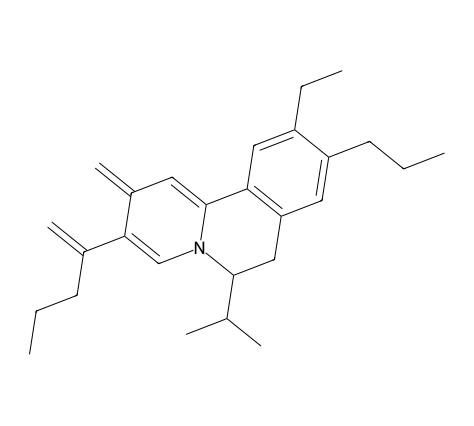 C=C1C=C2c3cc(CC)c(CCC)cc3CC(C(C)C)N2C=C1C(=C)CCC